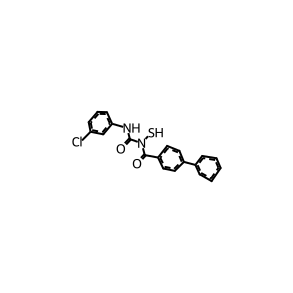 O=C(Nc1cccc(Cl)c1)N(S)C(=O)c1ccc(-c2ccccc2)cc1